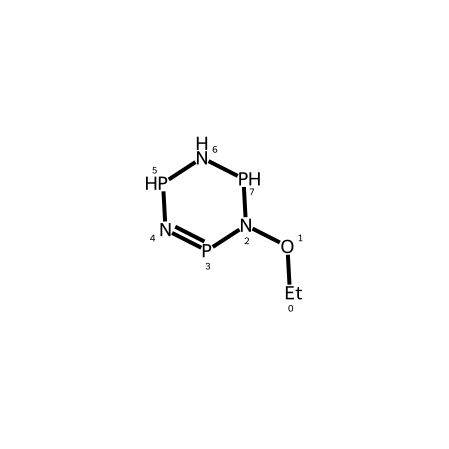 CCOn1pn[pH][nH][pH]1